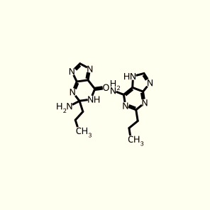 CCCC1(N)N=C2N=CN=C2C(=O)N1.CCCc1nc(N)c2[nH]cnc2n1